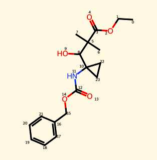 CCOC(=O)C(C)(C)C(O)C1(NC(=O)OCc2ccccc2)CC1